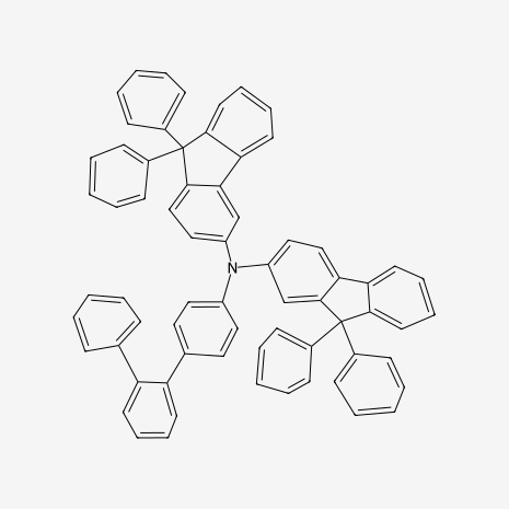 c1ccc(-c2ccccc2-c2ccc(N(c3ccc4c(c3)-c3ccccc3C4(c3ccccc3)c3ccccc3)c3ccc4c(c3)C(c3ccccc3)(c3ccccc3)c3ccccc3-4)cc2)cc1